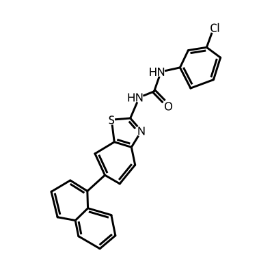 O=C(Nc1cccc(Cl)c1)Nc1nc2ccc(-c3cccc4ccccc34)cc2s1